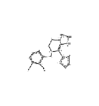 Fc1cccc(CN2CCN3NNNC3=C2c2cccs2)c1F